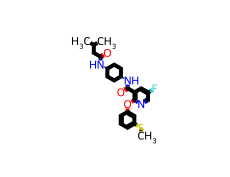 CSc1cccc(Oc2ncc(F)cc2C(=O)N[C@H]2CC[C@@H](NC(=O)CC(C)C)CC2)c1